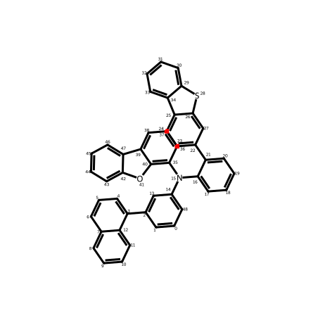 c1cc(-c2cccc3ccccc23)cc(N(c2ccccc2-c2ccc3c(c2)sc2ccccc23)c2cccc3c2oc2ccccc23)c1